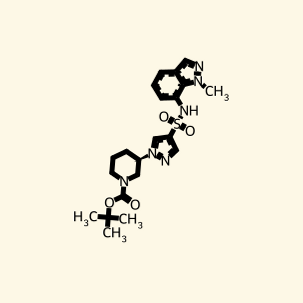 Cn1ncc2cccc(NS(=O)(=O)c3cnn([C@@H]4CCCN(C(=O)OC(C)(C)C)C4)c3)c21